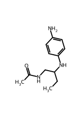 CCC(CNC(C)=O)Nc1ccc(N)cc1